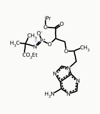 CCOC(=O)C(C)(C)/N=[P+](\[O-])OC(COC(C)Cn1cnc2c(N)ncnc21)C(=O)OC(C)C